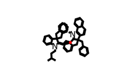 CC(C)CCN1/C(=C/C=C/C2=[N+](C)c3c(ccc4ccccc34)C2(Cc2ccccc2)Cc2ccccc2)C(Cc2ccccc2)(Cc2ccccc2)c2ccccc21